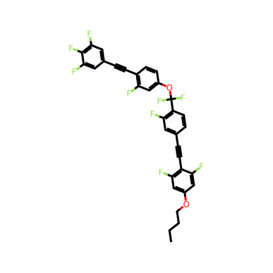 CCCCOc1cc(F)c(C#Cc2ccc(C(F)(F)Oc3ccc(C#Cc4cc(F)c(F)c(F)c4)c(F)c3)c(F)c2)c(F)c1